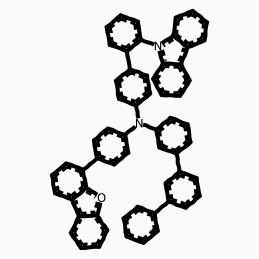 c1ccc(-c2cccc(-c3cccc(N(c4ccc(-c5ccccc5-n5c6ccccc6c6ccccc65)cc4)c4ccc(-c5cccc6c5oc5ccccc56)cc4)c3)c2)cc1